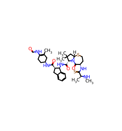 CN[C@@H](C)C(=S)N[C@H]1CCS[C@H]2CC(C)(C)[C@@H](C(=O)N[C@H]3c4ccccc4C[C@H]3C(=O)N[C@H]3CCC(NC=O)=C(C)C3)N2C1=O